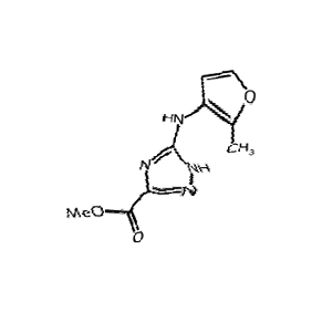 COC(=O)c1n[nH]c(Nc2ccoc2C)n1